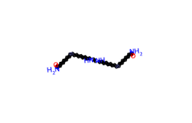 NC(=O)CCCCCCC/C=C\CCCCCCCCNCCNCCCCCCCC/C=C\CCCCCCCC(N)=O